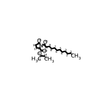 CCCCCCCCCCCC(=O)N1C(=O)CCC1C(=O)OC(C)CC